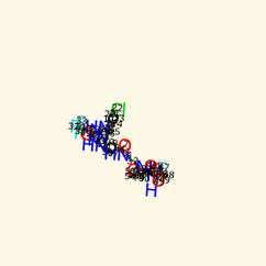 O=C(CCCNC(=O)c1ccc(Nc2nc(NC3(c4ccc(Cl)cc4)CC3)nc(OCC(F)(F)F)n2)cc1)N[C@]1(C(=O)NS(=O)(=O)C2(F)CC2)C[C@H]1C1CC1